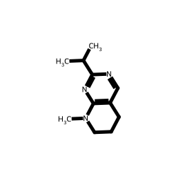 CC(C)c1ncc2c(n1)N(C)CCC2